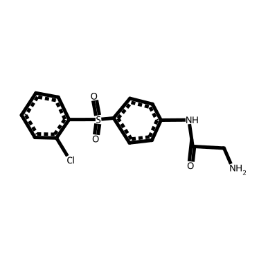 NCC(=O)Nc1ccc(S(=O)(=O)c2ccccc2Cl)cc1